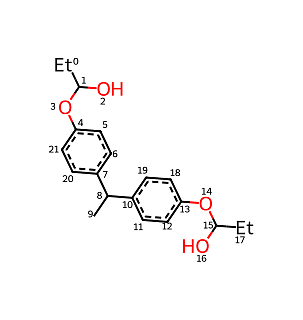 CCC(O)Oc1ccc(C(C)c2ccc(OC(O)CC)cc2)cc1